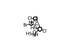 Cc1cc(Cl)cc(-c2nnc(S)o2)c1NC(=O)c1cc(Br)nn1-c1ncccc1Cl